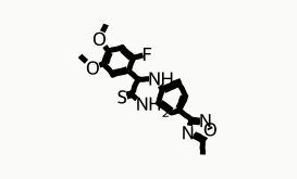 COc1cc(F)c(C(Nc2ccc(-c3noc(C)n3)cc2)C(N)=S)cc1OC